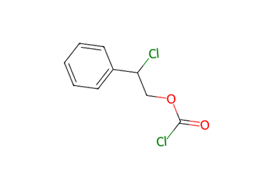 O=C(Cl)OCC(Cl)c1ccccc1